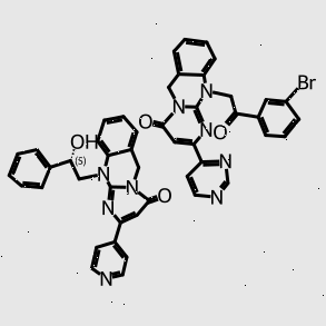 O=C(CN1c2ccccc2Cn2c1nc(-c1ccncn1)cc2=O)c1cccc(Br)c1.O=c1cc(-c2ccncc2)nc2n1Cc1ccccc1N2C[C@@H](O)c1ccccc1